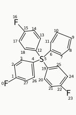 Fc1ccc(S(c2ccccc2)(c2ccc(F)cc2)c2ccc(F)cc2)cc1